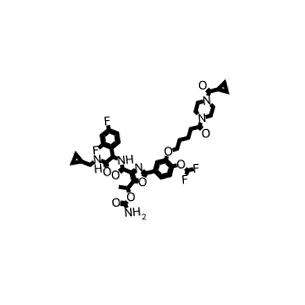 CC(OC(N)=O)c1oc(-c2ccc(OC(F)F)c(OCCCCC(=O)N3CCN(C(=O)C4CC4)CC3)c2)nc1C(=O)NC(C(=O)NCC1CC1)c1ccc(F)cc1F